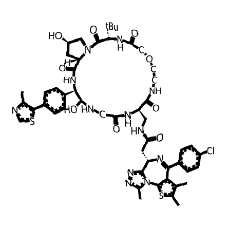 Cc1ncsc1-c1ccc([C@H]2NC(=O)[C@@H]3C[C@@H](O)CN3C(=O)[C@H](C(C)(C)C)NC(=O)COCCNC(=O)[C@@H](CNC(=O)C[C@@H]3N=C(c4ccc(Cl)cc4)c4c(sc(C)c4C)-n4c(C)nnc43)NC(=O)CNC2O)cc1